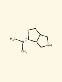 CN(C)[C@@H]1CCC2CNCC21